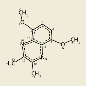 COc1ccc(OC)c2nc(C)c(C)nc12